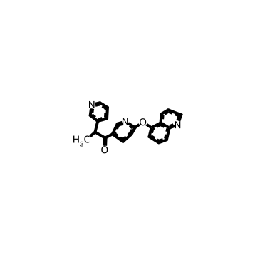 CC(C(=O)c1ccc(Oc2cccc3ncccc23)nc1)c1cccnc1